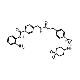 Nc1ccccc1NC(=O)c1ccc(CNC(=O)OCc2ccc([C@H]3C[C@@H]3NC3CCS(=O)(=O)CC3)cc2)cc1